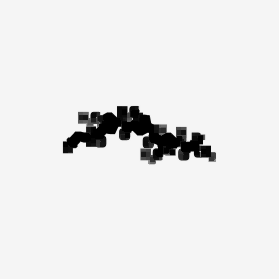 C=C(Br)C(=O)Nc1cc(C(=O)Nc2cc(C(=O)Nc3cc(C(=O)NCCC#N)n(C)c3)n(C)c2)n(C)n1